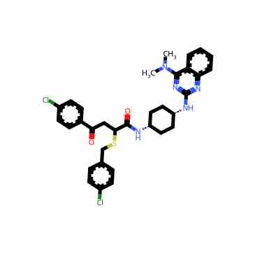 CN(C)c1nc(N[C@H]2CC[C@@H](NC(=O)C(CC(=O)c3ccc(Cl)cc3)SCc3ccc(Cl)cc3)CC2)nc2ccccc12